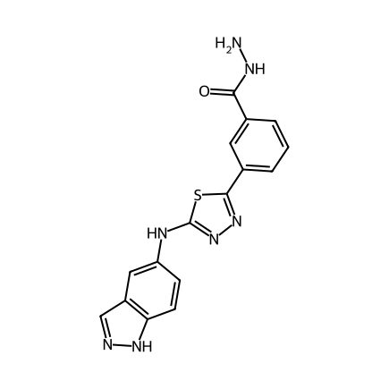 NNC(=O)c1cccc(-c2nnc(Nc3ccc4[nH]ncc4c3)s2)c1